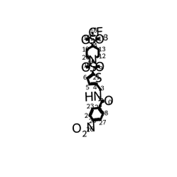 O=C(NCc1ccc(S(=O)(=O)N2CCC(S(=O)(=O)C(F)(F)F)CC2)s1)c1ccc([N+](=O)[O-])cc1